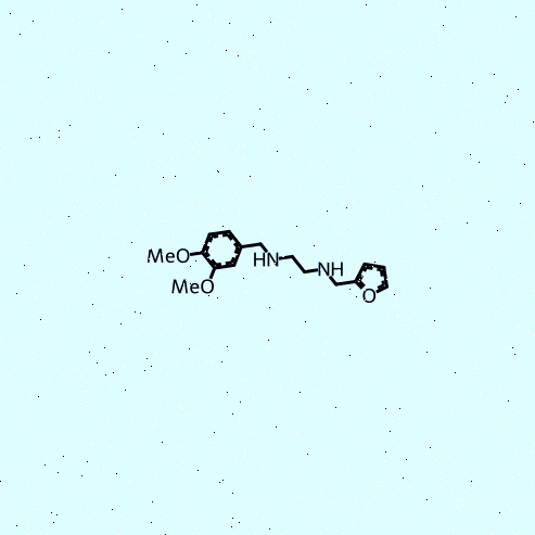 COc1ccc(CNCCNCc2ccco2)cc1OC